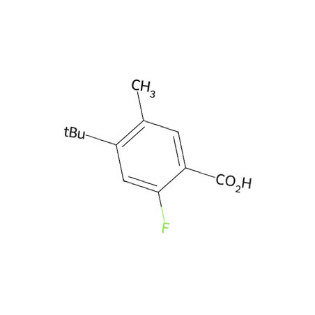 Cc1cc(C(=O)O)c(F)cc1C(C)(C)C